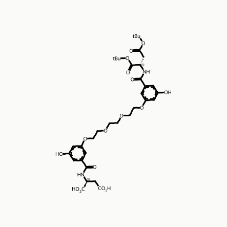 CC(C)(C)OC(=O)C[C@H](NC(=O)c1cc(O)cc(OCCOCCOCCOc2cc(O)cc(C(=O)N[C@@H](CC(=O)O)C(=O)O)c2)c1)C(=O)OC(C)(C)C